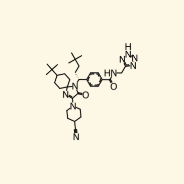 CC(C)(C)CC[C@H](c1ccc(C(=O)NCc2nn[nH]n2)cc1)N1C(=O)C(N2CCC(C#N)CC2)=NC12CCC(C(C)(C)C)CC2